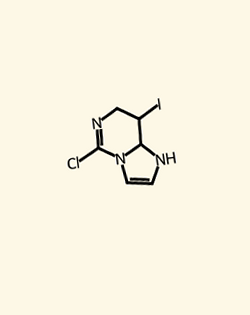 ClC1=NCC(I)C2NC=CN12